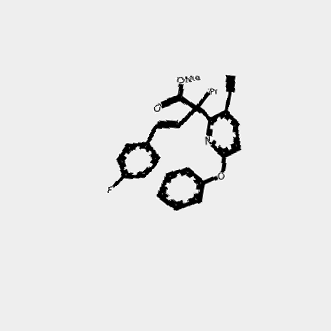 C#Cc1ccc(Oc2ccccc2)nc1C(C=Cc1ccc(F)cc1)(C(=O)OC)C(C)C